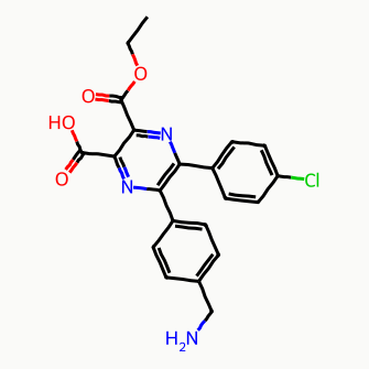 CCOC(=O)c1nc(-c2ccc(Cl)cc2)c(-c2ccc(CN)cc2)nc1C(=O)O